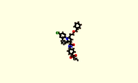 Cc1cc(Cl)ccc1-n1c(CCOCc2ccccc2)cc(C(=O)Nc2ccc(S(C)(=O)=O)cc2)c1C